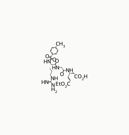 CCOC(=O)/C=C/[C@H](CC(=O)O)NC(=O)CNC(=O)[C@H](CCCNC(=N)N)NS(=O)(=O)c1ccc(C)cc1